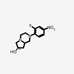 O=[N+]([O-])c1ccc(N2CCN3C[C@H](O)CC3C2)c(F)c1